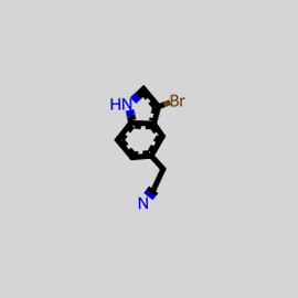 N#CCc1ccc2[nH]cc(Br)c2c1